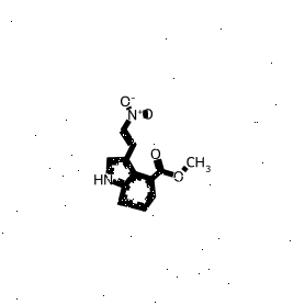 COC(=O)c1cccc2[nH]cc(C=C[N+](=O)[O-])c12